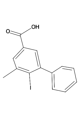 Cc1cc(C(=O)O)cc(-c2ccccc2)c1I